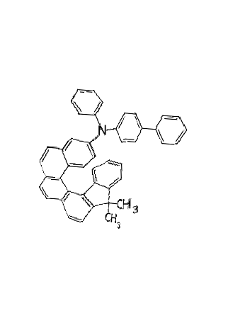 CC1(C)c2ccccc2-c2c1ccc1ccc3ccc4cc(N(c5ccccc5)c5ccc(-c6ccccc6)cc5)ccc4c3c21